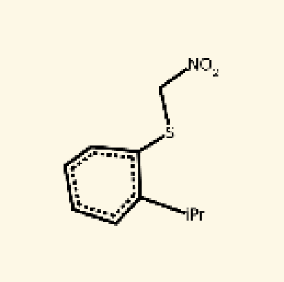 CC(C)c1ccccc1SC[N+](=O)[O-]